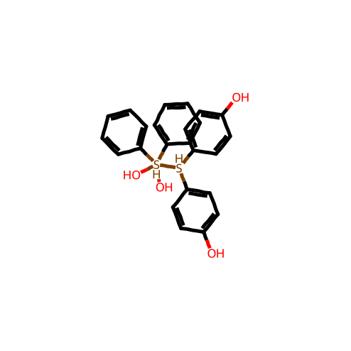 Oc1ccc([SH](c2ccc(O)cc2)[SH](O)(O)(c2ccccc2)c2ccccc2)cc1